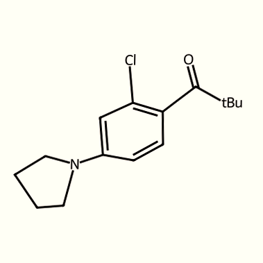 CC(C)(C)C(=O)c1ccc(N2CCCC2)cc1Cl